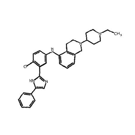 CCN1CCC(N2CCc3c(cccc3Nc3ccc(Cl)c(-c4ncc(-c5ccccc5)[nH]4)c3)C2)CC1